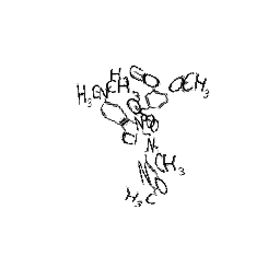 CCN(Cc1coc(C)n1)C(=O)CN(c1cc(N(C)C)ccc1Cl)S(=O)(=O)c1ccc(OC)c(OC)c1